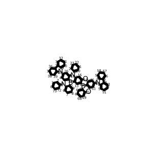 c1ccc(N2c3ccccc3B3c4cc5c(cc4N(c4ccccc4)c4cc(-n6c7ccccc7c7ccccc76)cc2c43)Oc2cc(-n3c4ccccc4c4ccccc43)cc3c2B5c2ccccc2O3)cc1